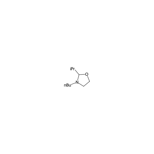 CCCCN1CCOC1C(C)C